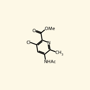 COC(=O)c1nc(C)c(NC(C)=O)cc1Cl